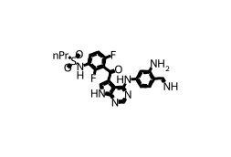 CCCS(=O)(=O)Nc1ccc(F)c(C(=O)c2c[nH]c3ncnc(Nc4ccc(C=N)c(N)c4)c23)c1F